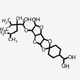 CC(C)CC(C)(C(C)C)C(O)OC1C(O)OC2C3OC4(CCC(C(O)O)CC4)OC3OC12